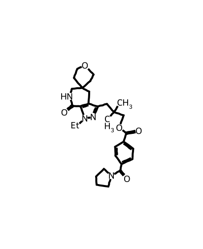 CCn1nc(CC(C)(C)COC(=O)c2ccc(C(=O)N3CCCC3)cc2)c2c1C(=O)NCC1(CCOCC1)C2